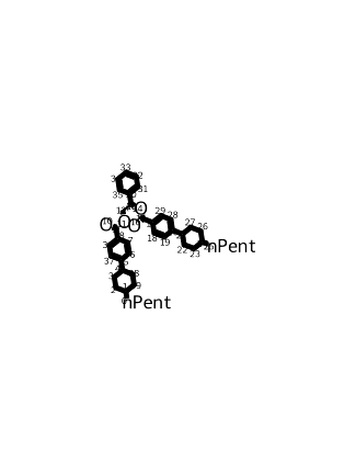 CCCCCC1CCC(c2ccc(C(=O)OC[C@H](OC(=O)c3ccc(C4CCC(CCCCC)CC4)cc3)c3ccccc3)cc2)CC1